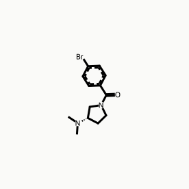 CN(C)[C@H]1CCN(C(=O)c2ccc(Br)cc2)C1